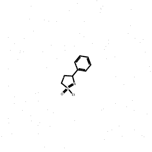 CCS1(=O)=NC(c2ccccc2)CC1